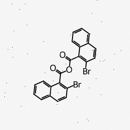 O=C(OC(=O)c1c(Br)ccc2ccccc12)c1c(Br)ccc2ccccc12